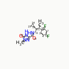 CC(c1ccc(F)cc1F)C(CNC(=O)c1nn(C)c(=O)[nH]1)C1CC1